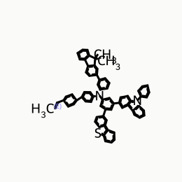 C/C=C/c1ccc(-c2ccc(N(c3cccc(-c4ccc5c(c4)C(C)(C)c4ccccc4-5)c3)c3cc(-c4ccc5sc6ccccc6c5c4)cc(-c4ccc5c(c4)c4ccccc4n5-c4ccccc4)c3)cc2)cc1